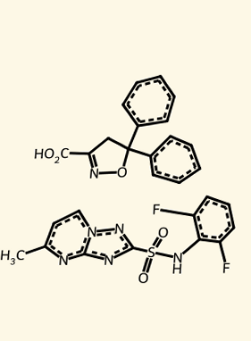 Cc1ccn2nc(S(=O)(=O)Nc3c(F)cccc3F)nc2n1.O=C(O)C1=NOC(c2ccccc2)(c2ccccc2)C1